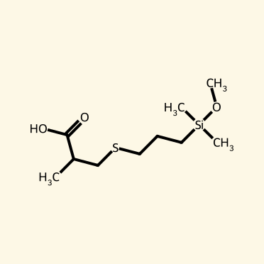 CO[Si](C)(C)CCCSCC(C)C(=O)O